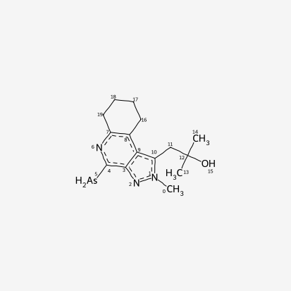 Cn1nc2c([AsH2])nc3c(c2c1CC(C)(C)O)CCCC3